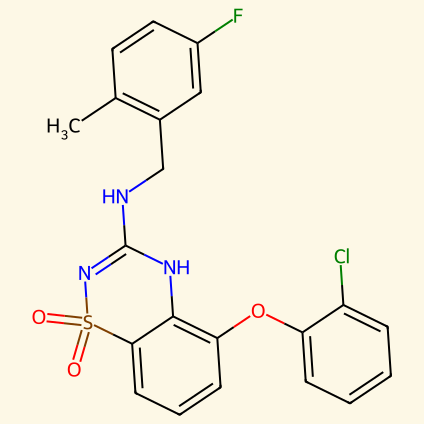 Cc1ccc(F)cc1CNC1=NS(=O)(=O)c2cccc(Oc3ccccc3Cl)c2N1